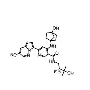 CC(C)(O)[C@H](F)CNC(=O)c1cnc(-c2ccc3cc(C#N)cnn23)cc1NC12CCC(O)(CC1)C2